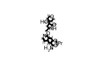 CC(C)Oc1cc2c(OCC3CC(C4(O)CCOCC4)C(=O)N3)nccc2cc1C(N)=O